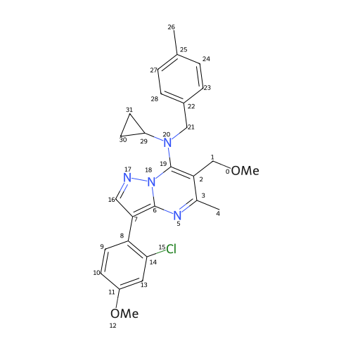 COCc1c(C)nc2c(-c3ccc(OC)cc3Cl)cnn2c1N(Cc1ccc(C)cc1)C1CC1